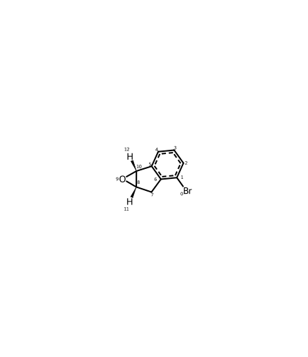 Brc1cccc2c1C[C@@H]1O[C@H]21